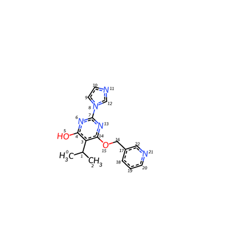 CC(C)c1c(O)nc(-n2ccnc2)nc1OCc1cccnc1